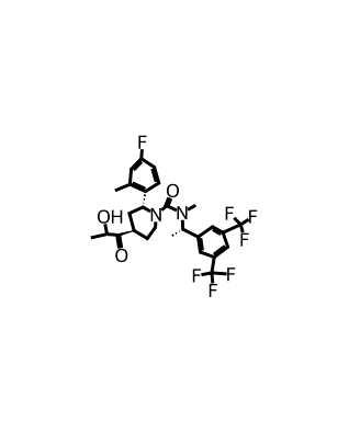 Cc1cc(F)ccc1[C@H]1C[C@H](C(=O)C(C)O)CCN1C(=O)N(C)[C@@H](C)c1cc(C(F)(F)F)cc(C(F)(F)F)c1